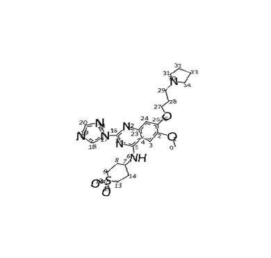 COc1cc2c(NC3CCS(=O)(=O)CC3)nc(-n3cncn3)nc2cc1OCCCN1CCCC1